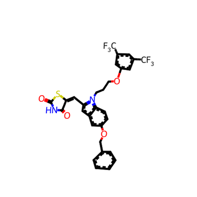 O=C1NC(=O)/C(=C\c2cc3cc(OCc4ccccc4)ccc3n2CCCOc2cc(C(F)(F)F)cc(C(F)(F)F)c2)S1